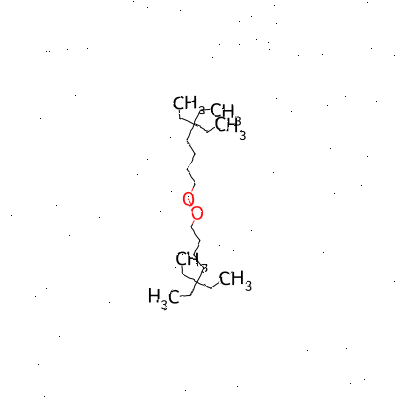 CCC(CC)(CC)CCCCOOCCCCC(CC)(CC)CC